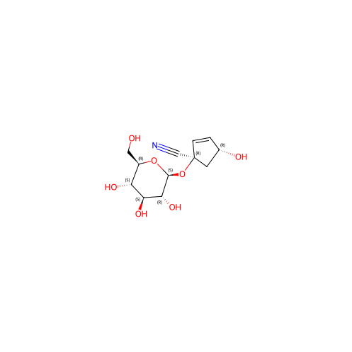 N#C[C@]1(O[C@@H]2O[C@H](CO)[C@@H](O)[C@H](O)[C@H]2O)C=C[C@H](O)C1